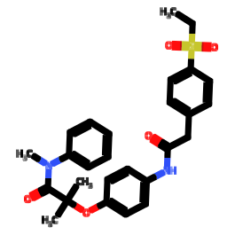 CCS(=O)(=O)c1ccc(CC(=O)Nc2ccc(OC(C)(C)C(=O)N(C)c3ccccc3)cc2)cc1